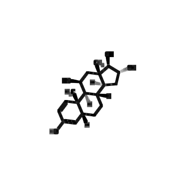 C[C@]12C=CC(O)=C[C@H]1CC[C@@H]1[C@@H]2[C@@H](O)C[C@]2(C)[C@@H](O)[C@H](O)C[C@@H]12